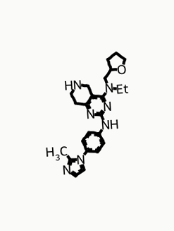 CCN(CC1CCCO1)c1nc(Nc2ccc(-n3ccnc3C)cc2)nc2c1CNCC2